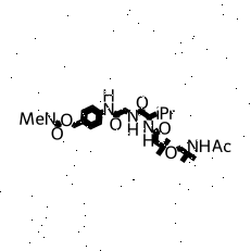 CNC(=O)OCc1ccc(NC(=O)CNC(=O)C(NC(=O)CC(C)(C)OCC(C)(C)NC(C)=O)C(C)C)cc1